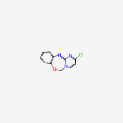 ClC1=NC2=Nc3ccccc3OCN2C=C1